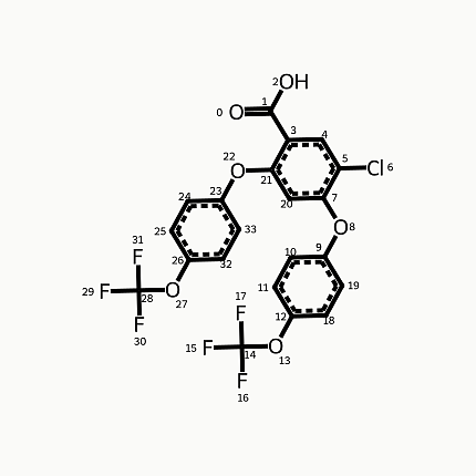 O=C(O)c1cc(Cl)c(Oc2ccc(OC(F)(F)F)cc2)cc1Oc1ccc(OC(F)(F)F)cc1